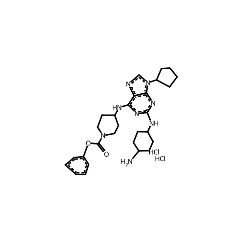 Cl.Cl.NC1CCC(Nc2nc(NC3CCN(C(=O)Oc4ccccc4)CC3)c3ncn(C4CCCC4)c3n2)CC1